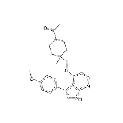 COc1ccc(-c2c[nH]c3nccc(OCC4(C)CCN(C(C)=O)CC4)c23)cc1